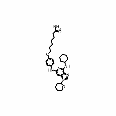 NC(=O)CCCCCCOc1ccc(Nc2cc3c(ncn3C3CCCCO3)c(NC3CCCCC3)n2)cc1